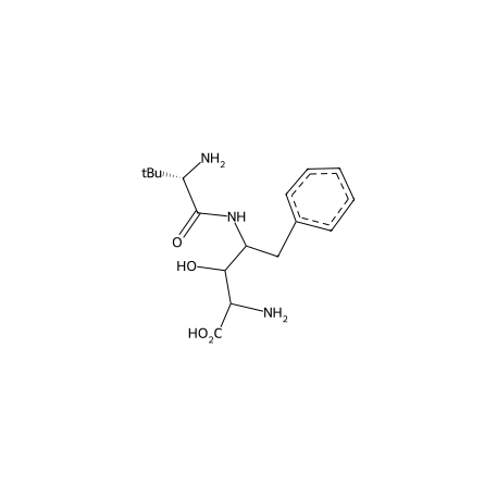 CC(C)(C)[C@H](N)C(=O)NC(Cc1ccccc1)C(O)C(N)C(=O)O